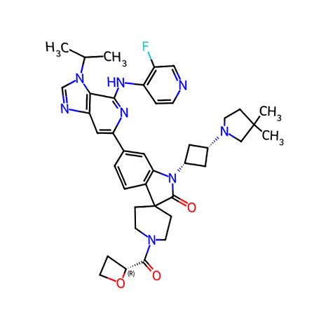 CC(C)n1cnc2cc(-c3ccc4c(c3)N([C@H]3C[C@@H](N5CCC(C)(C)C5)C3)C(=O)C43CCN(C(=O)[C@H]4CCO4)CC3)nc(Nc3ccncc3F)c21